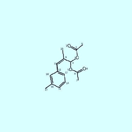 CC(=O)OC(OC(C)=O)C(C)=Cc1cccc(C)c1